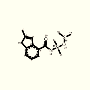 CC1=Cc2c(cccc2C(=O)[N][Si](C)(C)O[Si](C)C)C1